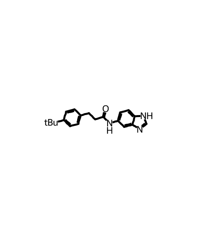 CC(C)(C)c1ccc(CCC(=O)Nc2ccc3[nH]cnc3c2)cc1